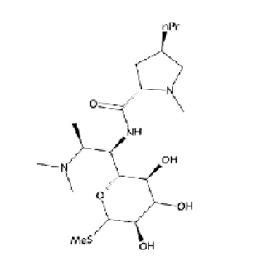 CCC[C@@H]1C[C@@H](C(=O)N[C@@H]([C@H]2OC(SC)[C@H](O)C(O)[C@@H]2O)[C@H](C)N(C)C)N(C)C1